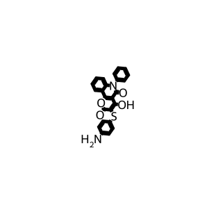 Nc1ccc(Sc2c(O)c3c(=O)n(-c4ccccc4)c4ccccc4c3oc2=O)cc1